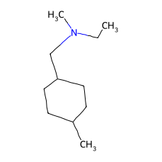 CCN(C)CC1CCC(C)CC1